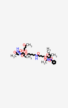 CC[C@H]1O[C@@H](n2cc(C)c(=O)[nH]c2=O)[C@@H](OC(=O)CCC(C)=O)C1OCCCCCCNC(=O)CCCCO[C@@H]1O[C@H](CC)[C@H](C)[C@H](OC(=O)c2ccccc2)[C@H]1NC(C)=O